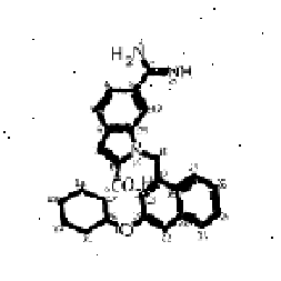 N=C(N)c1ccc2cc(C(=O)O)n(Cc3cc(OC4CCCCC4)cc4ccccc34)c2c1